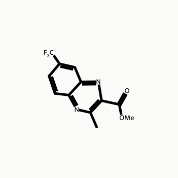 COC(=O)c1nc2cc(C(F)(F)F)ccc2nc1C